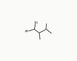 CCC(C(C)C)C(C)N(C)C